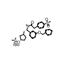 CN(C(=O)Cc1ccc(S(C)(=O)=O)cc1)[C@@H](CC1CC[C@H](O[Si](C)(C)C(C)(C)C)C1)c1cccc(OCc2ccccc2)c1